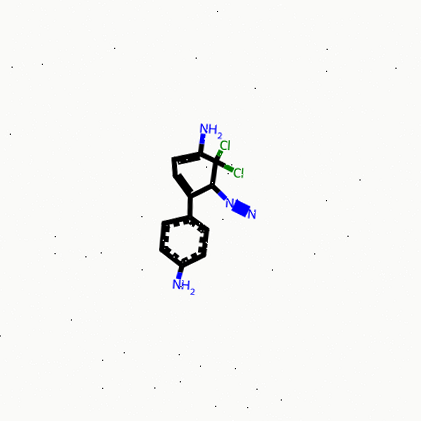 N#[N+]C1C(c2ccc(N)cc2)=CC=C(N)C1(Cl)Cl